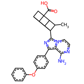 CC1C2C3C4C(CC24C(=O)O)C13c1nc(-c2ccc(Oc3ccccc3)cc2)c2c(N)nccn12